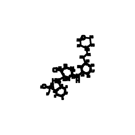 CP(C)(=O)c1ccccc1Nc1nc(Nc2cccc(CCN3CCOCC3)c2)ncc1Cl